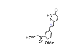 C#CC[S+]([O-])c1cc(/C=C/c2ccc(=O)[nH]n2)ccc1OC